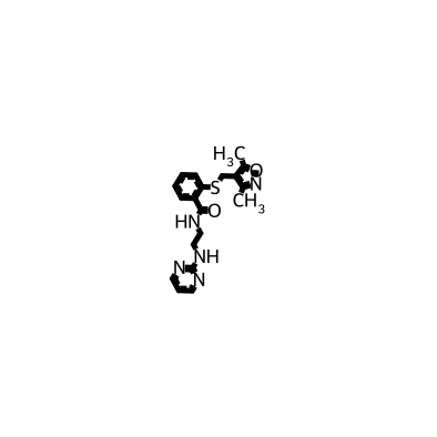 Cc1noc(C)c1CSc1ccccc1C(=O)NCCNc1ncccn1